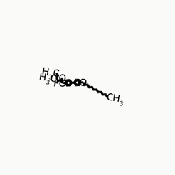 CCCCCCCCCCCCOc1ccc(-c2ccc(OC(=O)C(F)C(C)CC)cc2)cc1